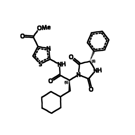 COC(=O)c1csc(NC(=O)[C@H](CC2CCCCC2)N2C(=O)N[C@@H](c3ccccc3)C2=O)n1